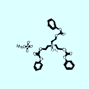 COS(=O)(=O)[O-].C[N+](CCOC(=O)Oc1ccccc1)(CCOC(=O)Oc1ccccc1)CCOC(=O)Oc1ccccc1